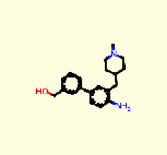 CN1CCC(Cc2cc(-c3cccc(CO)c3)ccc2N)CC1